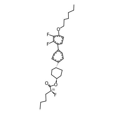 CCCCCCOc1ccc(-c2ccc([C@H]3CC[C@H](OC(=O)[C@@H](F)CCCC)CC3)cc2)c(F)c1F